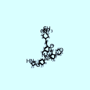 CS(=O)(=O)N1CCC(C#Cc2cc3cnc(Nc4ccc(OC5CCNC5)cc4)nc3n(Cc3ccccc3N3CCOCC3)c2=O)CC1